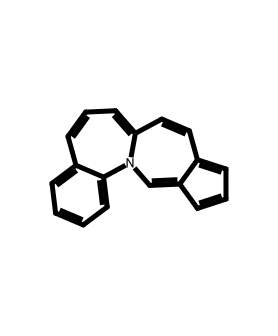 C1=CC2=CN3C(=CC=Cc4ccccc43)C=CC2=C1